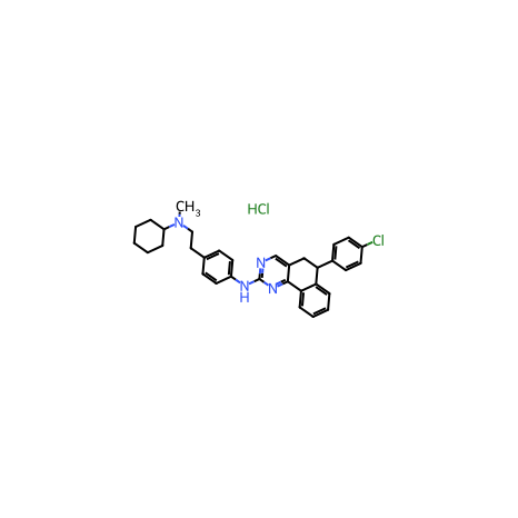 CN(CCc1ccc(Nc2ncc3c(n2)-c2ccccc2C(c2ccc(Cl)cc2)C3)cc1)C1CCCCC1.Cl